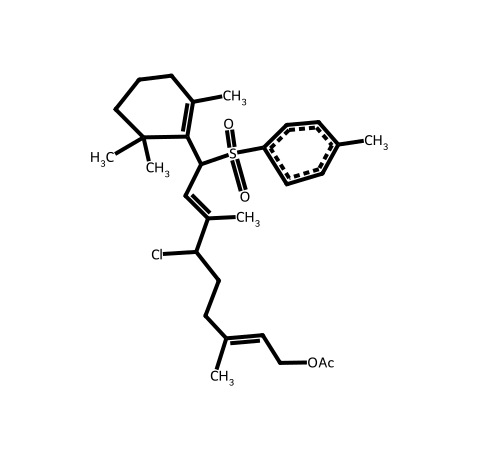 CC(=O)OCC=C(C)CCC(Cl)C(C)=CC(C1=C(C)CCCC1(C)C)S(=O)(=O)c1ccc(C)cc1